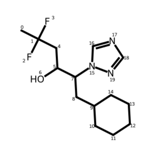 CC(F)(F)CC(O)C(CC1CCCCC1)n1cncn1